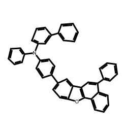 c1ccc(-c2cccc(N(c3ccccc3)c3ccc(-c4ccc5oc6c7ccccc7c(-c7ccccc7)cc6c5c4)cc3)c2)cc1